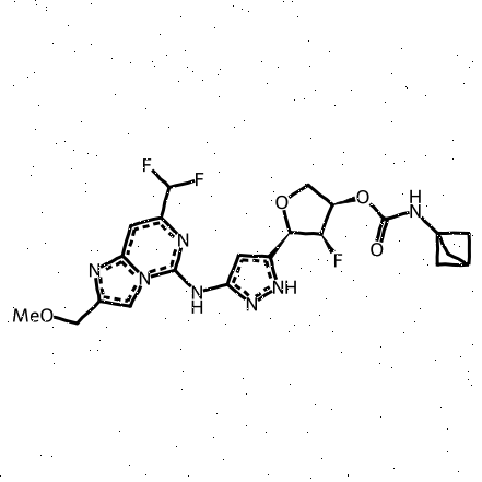 COCc1cn2c(Nc3cc([C@H]4OC[C@@H](OC(=O)NC56CC(C5)C6)[C@H]4F)[nH]n3)nc(C(F)F)cc2n1